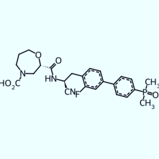 CP(C)(=O)c1ccc(-c2ccc(C[C@@H](C#N)NC(=O)[C@@H]3CN(C(=O)O)CCCO3)c(F)c2)cc1